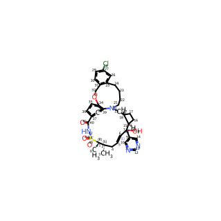 C[C@@H]1[C@@H](C)C/C=C/[C@@](O)(c2cncnc2)[C@@H]2CC[C@H]2CN2CCCCc3cc(Cl)ccc3COc3ccc(cc32)C(=O)NS1(=O)=O